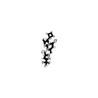 Cc1sc2nc(Cn3nc(C(F)(F)F)cc3Cl)cc(=O)n2c1C1CCC1